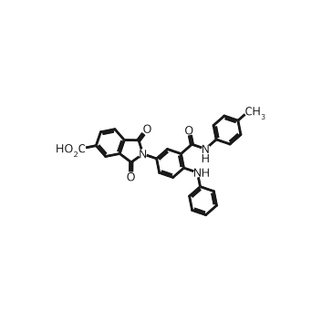 Cc1ccc(NC(=O)c2cc(N3C(=O)c4ccc(C(=O)O)cc4C3=O)ccc2Nc2ccccc2)cc1